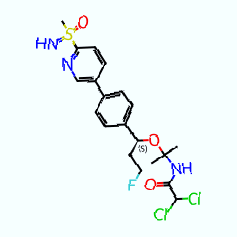 CC(C)(NC(=O)C(Cl)Cl)O[C@@H](CCF)c1ccc(-c2ccc(S(C)(=N)=O)nc2)cc1